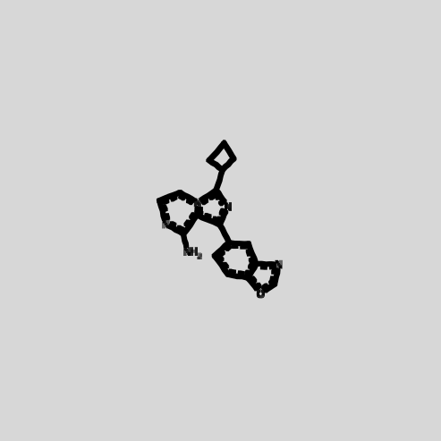 Nc1nccn2c(C3CCC3)nc(-c3ccc4ocnc4c3)c12